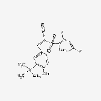 CC(C)(C)c1cc(C=C(C#N)S(=O)(=O)c2ccc(F)cc2F)ccc1O